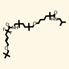 CC(C)CNC(=O)C(C)(C)CCCCOCC(C)(C)CCC(C)(C)CNC(=O)C(F)(F)C/C=C/COCC(C)(C)C